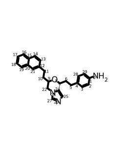 Nc1ccc(CCCOC(CCc2ccc3ccccc3c2)Cn2ccnc2)cc1